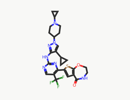 O=C1NCCOc2sc(-c3nc(Nc4nn(C5CCN(C6CC6)CC5)cc4C4CC4)ncc3C(F)(F)F)cc21